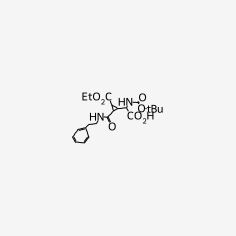 CCOC(=O)C1C(C(=O)NCCc2ccccc2)C1C(NC(=O)OC(C)(C)C)C(=O)O